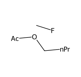 CCCCOC(C)=O.CF